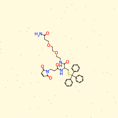 NC(=O)CCOCCOCCNC(=O)C(CSC(c1ccccc1)(c1ccccc1)c1ccccc1)NC(=O)CCN1C(=O)C=CC1=O